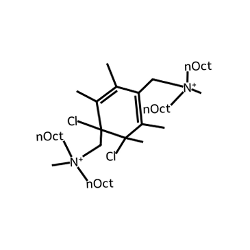 CCCCCCCC[N+](C)(CCCCCCCC)CC1=C(C)C(C)(Cl)C(Cl)(C[N+](C)(CCCCCCCC)CCCCCCCC)C(C)=C1C